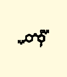 NC1CCC(Oc2cc(F)ccc2C(=O)O)CC1